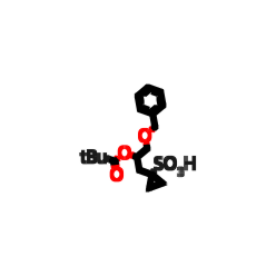 CC(C)(C)C(=O)OC(COCc1ccccc1)CC1(S(=O)(=O)O)CC1